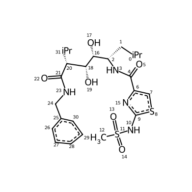 CC(C)C[C@H](NC(=O)c1csc(NS(C)(=O)=O)n1)[C@@H](O)[C@H](O)[C@H](C(=O)NCc1ccccc1)C(C)C